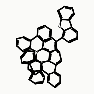 c1ccc(-c2ccccc2N(c2ccc(-c3cccc4c3oc3ccccc34)cc2)c2cccc(-c3ccccc3-c3ccccc3-n3c4ccccc4c4ccccc43)c2)cc1